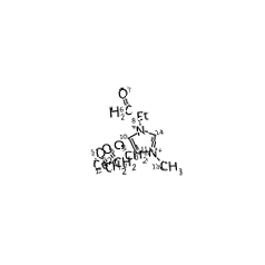 C=O.C=O.C=O.C=O.CCn1cc[n+](C)c1.[Co+2]